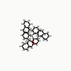 c1ccc(N(c2ccccc2-c2cccc3ccccc23)c2ccccc2-c2cccc3ccccc23)c(-c2cccc3ccccc23)c1